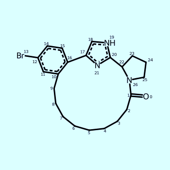 O=C1CCCCCCCCc2cc(Br)ccc2-c2c[nH]c(n2)C2CCCN12